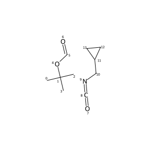 CC(C)(C)OC=O.O=C=NCC1CC1